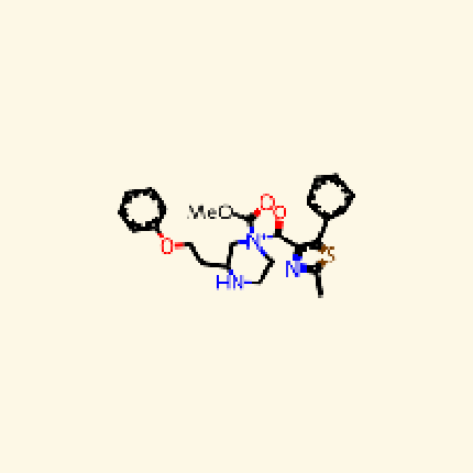 COC(=O)[N+]1(C(=O)c2nc(C)sc2-c2ccccc2)CCNC(CCOc2ccccc2)C1